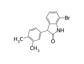 Cc1ccc(C2C(=O)Nc3c(Br)cccc32)cc1C